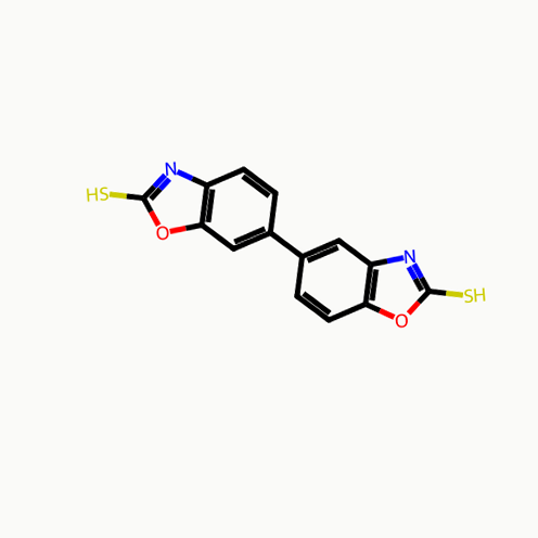 Sc1nc2cc(-c3ccc4nc(S)oc4c3)ccc2o1